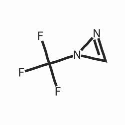 FC(F)(F)N1C=N1